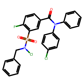 O=C(c1ccc(F)c(S(=O)(=O)N(Cl)Cc2ccccc2)c1)N(c1ccccc1)c1ccc(Cl)cc1